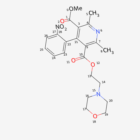 COC(=O)c1c(C)nc(C)c(C(=O)OCCN2CCOCC2)c1-c1ccccc1[N+](=O)[O-]